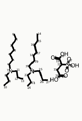 CCCCCCCN(CCC)CCC.CCCCCCCN(CCC)CCC.O=C(O)CC(C(=O)O)S(=O)(=O)O